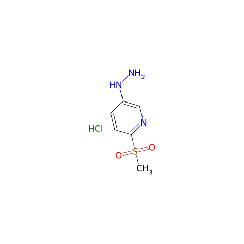 CS(=O)(=O)c1ccc(NN)cn1.Cl